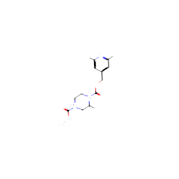 Cc1cc(COC(=O)N2CCN(C(=O)OC(C)(C)C)CC2C)cc(C)n1